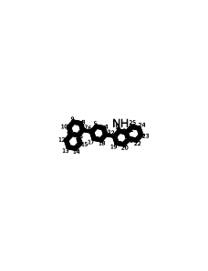 Nc1c(-c2ccc(-c3cccc4ccccc34)cc2)ccc2ccccc12